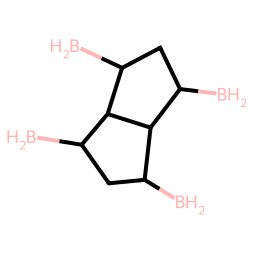 BC1CC(B)C2C(B)CC(B)C12